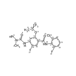 CCCN(C)C(=O)Nc1cc(O[C@@H](C)C(F)(F)F)c(C(=O)Nc2c(F)cccc2Cl)cc1F